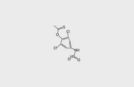 CC(=S)Oc1c(Cl)cc(N[SH](=O)=O)cc1Cl